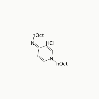 CCCCCCCCN=c1ccn(CCCCCCCC)cc1.Cl